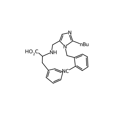 CCCCc1ncc(CNC(Cc2ccccc2)C(=O)O)n1Cc1ccccc1C#N